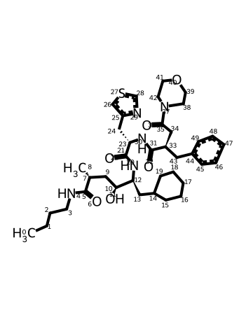 CCCCNC(=O)[C@H](C)C[C@H](O)[C@H](CC1CCCCC1)NC(=O)[C@H](Cc1cscn1)NC(=O)[C@@H](CC(=O)N1CCOCC1)Cc1ccccc1